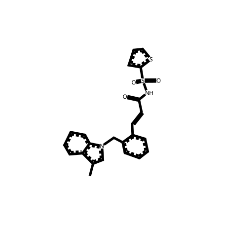 Cc1cn(Cc2ccccc2C=CC(=O)NS(=O)(=O)c2cccs2)c2ccccc12